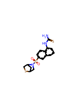 NC(=S)Nc1cccc2cc(S(=O)(=O)N3CC4CC3CS4)ccc12